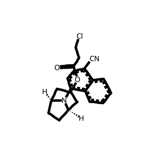 N#Cc1ccc(N2[C@@H]3CC[C@H]2C[C@@H](OC(=O)CCCl)C3)c2ccccc12